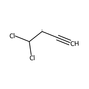 C#C[CH]C(Cl)Cl